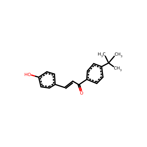 CC(C)(C)c1ccc(C(=O)/C=C/c2ccc(O)cc2)cc1